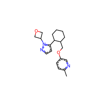 Cc1ccc(OCC2CCCCC2c2ccnn2C2COC2)cn1